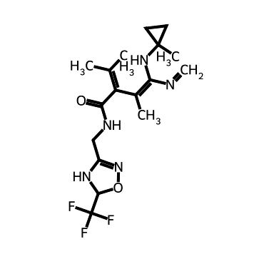 C=N/C(NC1(C)CC1)=C(\C)C(C(=O)NCC1=NOC(C(F)(F)F)N1)=C(C)C